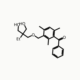 CCC(CO)(CO)COCc1c(C)cc(C)c(C(=O)c2ccccc2)c1C